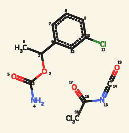 CC(OC(N)=O)c1cccc(Cl)c1.O=C=NC(=O)C(Cl)(Cl)Cl